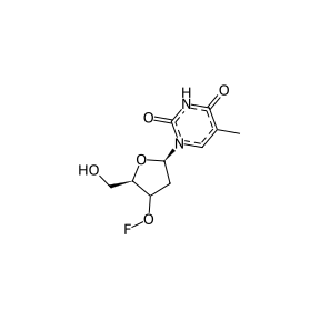 Cc1cn([C@H]2CC(OF)[C@@H](CO)O2)c(=O)[nH]c1=O